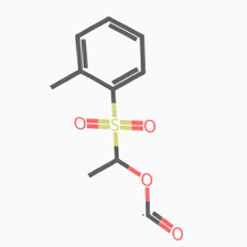 Cc1ccccc1S(=O)(=O)C(C)O[C]=O